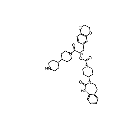 O=C(O[C@H](Cc1ccc2c(c1)OCCO2)C(=O)N1CCC(C2CCNCC2)CC1)N1CCC(N2CCc3ccccc3NC2=O)CC1